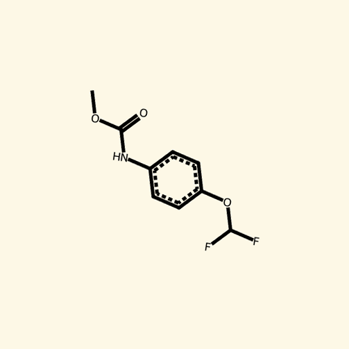 COC(=O)Nc1ccc(OC(F)F)cc1